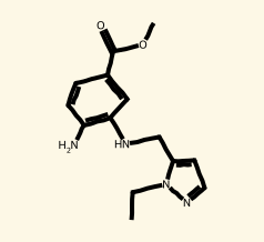 CCn1nccc1CNc1cc(C(=O)OC)ccc1N